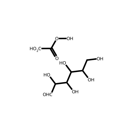 O=C(O)C(=O)OO.O=CC(O)C(O)C(O)C(O)CO